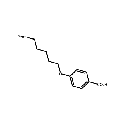 CCC[C@H](C)CCCCCOc1ccc(C(=O)O)cc1